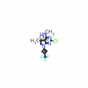 CNc1nc(Cl)nc2c1C(C)(C)CN2C12CC(C(F)(F)F)(C1)C2